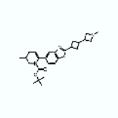 CC1CC=C(c2ccc3sc(C4CC(C5CN(C)C5)C4)nc3c2)N(C(=O)OC(C)(C)C)C1